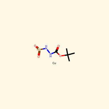 CC(C)(C)OC(=O)NN[SH](=O)=O.[Cu]